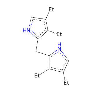 CCc1c[nH]c(Cc2[nH]cc(CC)c2CC)c1CC